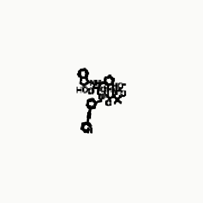 COC(=O)N[C@H](C(=O)NN(Cc1cccc(C#Cc2cccnc2)c1)C[C@](O)(Cc1ccccc1)C(=O)N[C@H]1c2ccccc2C[C@H]1O)C(C)(C)C